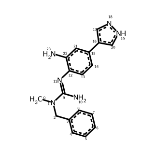 CN(Cc1ccccc1)/C(N)=N/c1ccc(-c2cn[nH]c2)cc1N